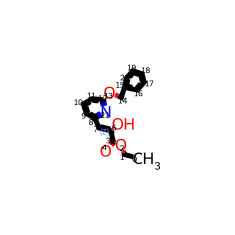 CCOC(=O)/C(O)=C/c1cccc(OCc2ccccc2)n1